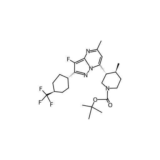 Cc1cc([C@H]2CN(C(=O)OC(C)(C)C)CC[C@@H]2C)n2nc([C@H]3CC[C@H](C(F)(F)F)CC3)c(F)c2n1